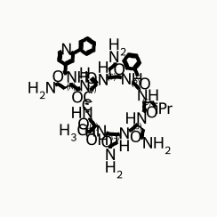 CC(C)C[C@@H]1NC(=O)[C@@H](Cc2ccccc2)NC(=O)[C@H](CCN)NC(=O)[C@@H](NC(=O)[C@@H](CCN)NC(=O)c2ccnc(-c3ccccc3)c2)CCNC(=O)[C@H]([C@@H](C)O)NC(=O)[C@H](CCN)NC(=O)[C@H](CCN)NC1=O